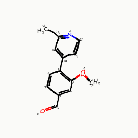 COc1cc(C=O)ccc1-c1ccnc(C)c1